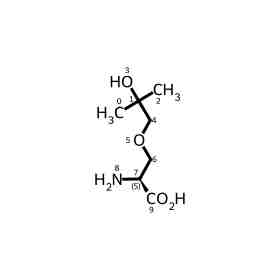 CC(C)(O)COC[C@H](N)C(=O)O